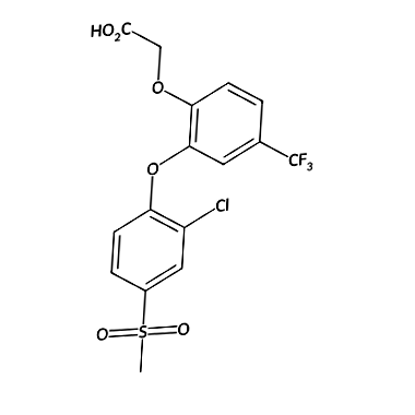 CS(=O)(=O)c1ccc(Oc2cc(C(F)(F)F)ccc2OCC(=O)O)c(Cl)c1